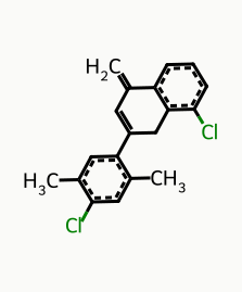 C=C1C=C(c2cc(C)c(Cl)cc2C)Cc2c(Cl)cccc21